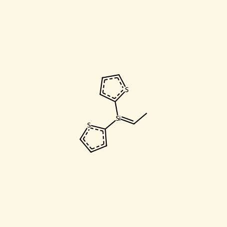 CC=[Si](c1cccs1)c1cccs1